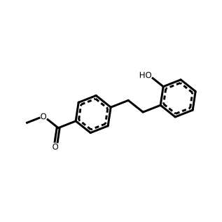 COC(=O)c1ccc(CCc2ccccc2O)cc1